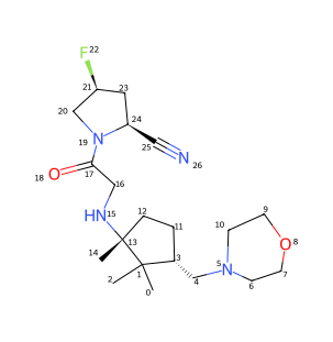 CC1(C)[C@@H](CN2CCOCC2)CC[C@@]1(C)NCC(=O)N1C[C@@H](F)C[C@H]1C#N